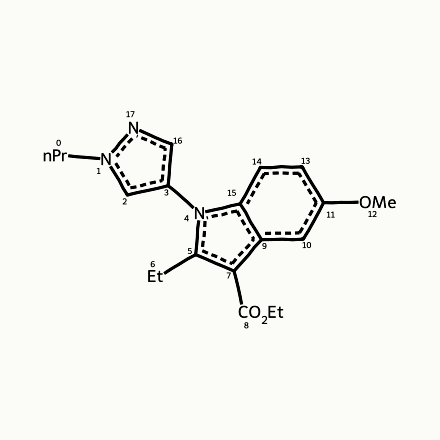 CCCn1cc(-n2c(CC)c(C(=O)OCC)c3cc(OC)ccc32)cn1